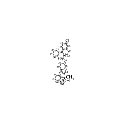 CC(O)(c1cc2cc(CC(=O)N3CCc4cc(Cl)ccc4C3c3ccccc3)ccc2o1)c1cccc[n+]1[O-]